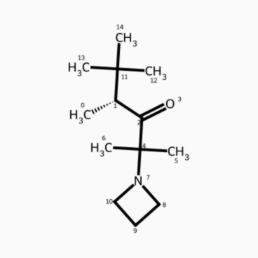 C[C@@H](C(=O)C(C)(C)N1CCC1)C(C)(C)C